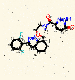 C[C@H]1CC[C@](C)([C@H]2CN(C(=O)c3ccc(=O)[nH]n3)CCO2)c2nnc(-c3c(F)cccc3F)cc21